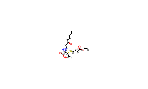 CCCCCC(=O)CCNC(C(=O)O)C(CC)SCCCC(=O)OCC